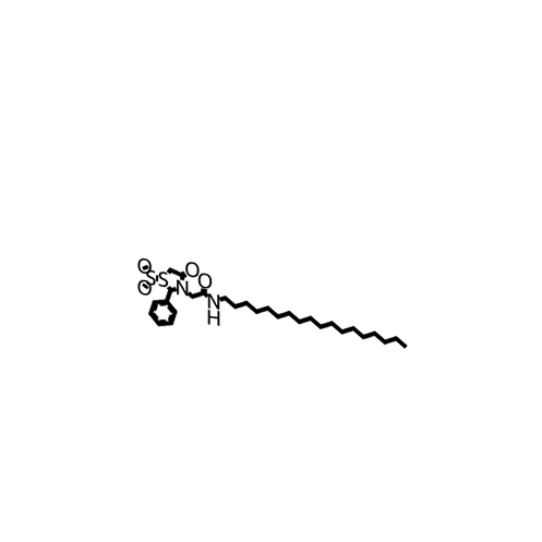 CCCCCCCCCCCCCCCCCCNC(=O)CN1C(=O)CS(=S(=O)=O)C1c1ccccc1